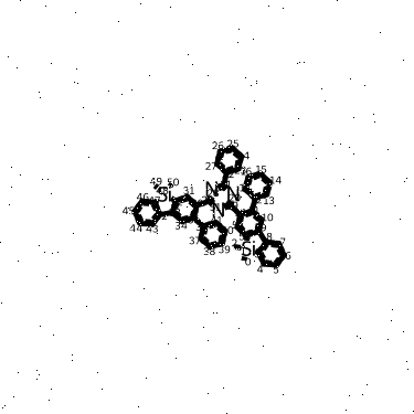 C[Si]1(C)c2ccccc2-c2cc(-c3ccccc3)c(-c3nc(-c4ccccc4)nc(-c4cc5c(cc4-c4ccccc4)-c4ccccc4[Si]5(C)C)n3)cc21